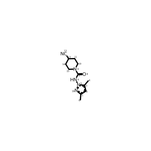 Cc1cc(C)n(NC(=O)N2CCC(C#N)CC2)n1